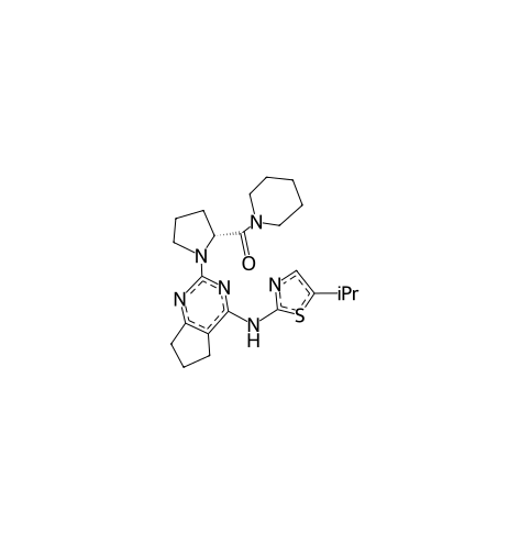 CC(C)c1cnc(Nc2nc(N3CCC[C@@H]3C(=O)N3CCCCC3)nc3c2CCC3)s1